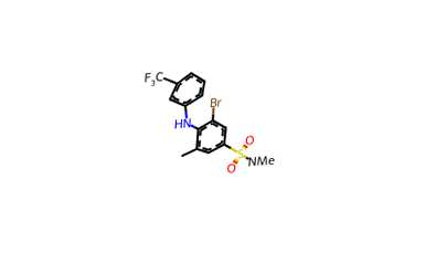 CNS(=O)(=O)c1cc(C)c(Nc2cccc(C(F)(F)F)c2)c(Br)c1